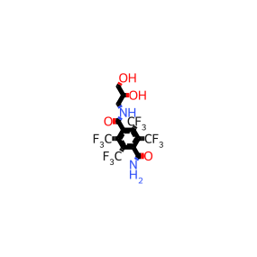 NC(=O)c1c(C(F)(F)F)c(C(F)(F)F)c(C(=O)NCC(O)CO)c(C(F)(F)F)c1C(F)(F)F